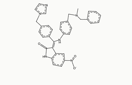 CN(Cc1ccccc1)Cc1ccc(NC(=C2C(=O)Nc3ccc([N+](=O)[O-])cc32)c2ccc(Cn3ccnc3)cc2)cc1